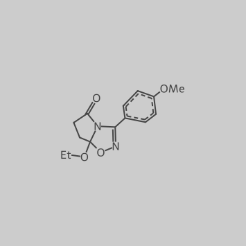 CCOC12CCC(=O)N1C(c1ccc(OC)cc1)=NO2